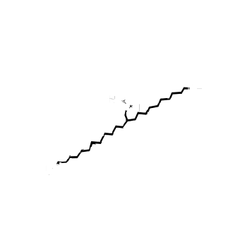 C=CCCCCCCCCCCCC(CCCCCCCCCCC)CN(C)C